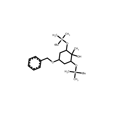 CC1(O)C(O[Si](C)(C)C(C)(C)C)CC(OCc2ccccc2)CC1O[Si](C)(C)C(C)(C)C